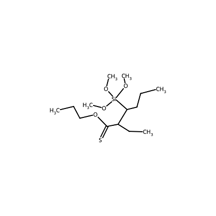 CCCOC(=S)C(CC)C(CCC)[Si](OC)(OC)OC